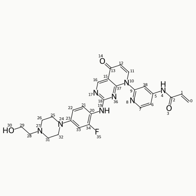 C=CC(=O)Nc1ccnc(-n2ccc(=O)c3cnc(Nc4ccc(N5CCN(CCO)CC5)cc4F)nc32)c1